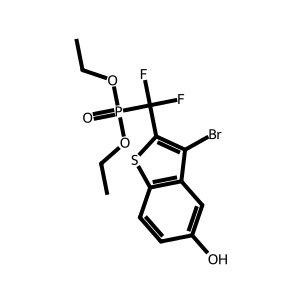 CCOP(=O)(OCC)C(F)(F)c1sc2ccc(O)cc2c1Br